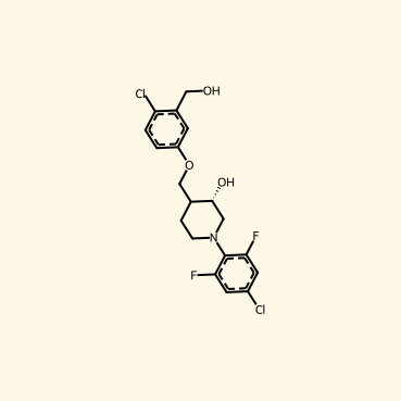 OCc1cc(OCC2CCN(c3c(F)cc(Cl)cc3F)C[C@H]2O)ccc1Cl